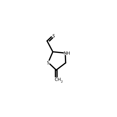 C=C1CNC(C=S)S1